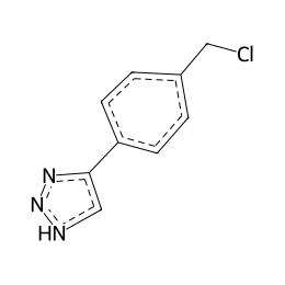 ClCc1ccc(-c2c[nH]nn2)cc1